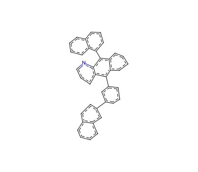 c1cc(-c2ccc3ccccc3c2)cc(-c2c3ccccc3c(-c3cccc4ccccc34)c3ncccc23)c1